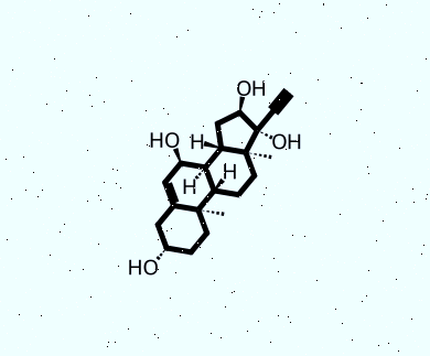 C#C[C@]1(O)[C@H](O)C[C@H]2[C@@H]3[C@H](O)C=C4C[C@@H](O)CC[C@]4(C)[C@H]3CC[C@@]21C